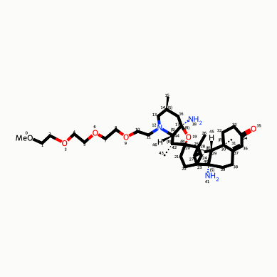 COCCOCCOCCOCCN1C[C@@H](C)C[C@@]2(N)O[C@]3(CCC45CC3(C)C4C[C@@H]3[C@@]4(C)CCC(=O)C=C4CC[C@]35N)[C@H](C)[C@H]12